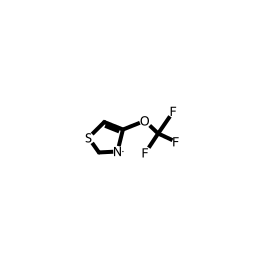 FC(F)(F)OC1=CSC[N]1